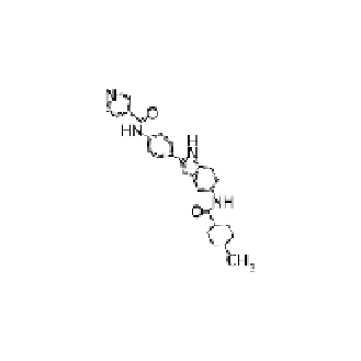 CC1CCC(C(=O)Nc2ccc3[nH]c(-c4ccc(NC(=O)c5ccncc5)cc4)cc3c2)CC1